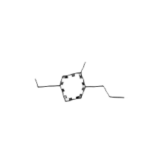 [CH2]CCc1ccc(CC)cc1C